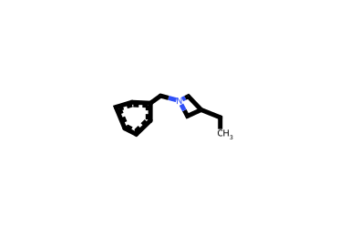 CCC1CN(Cc2ccccc2)C1